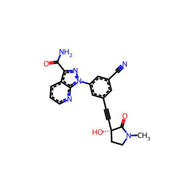 CN1CC[C@@](O)(C#Cc2cc(C#N)cc(-n3nc(C(N)=O)c4cccnc43)c2)C1=O